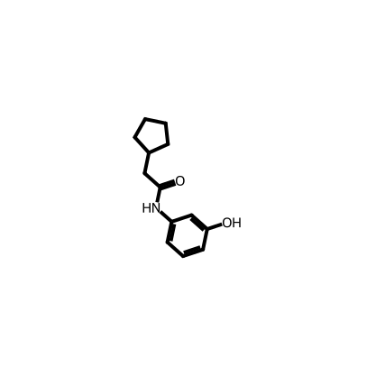 O=C(CC1CCCC1)Nc1cccc(O)c1